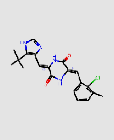 Cc1cccc(/C=c2\[nH]c(=O)/c(=C/c3nc[nH]c3C(C)(C)C)[nH]c2=O)c1Cl